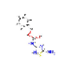 Nc1nc(NC(=O)OCc2ccccc2)ns1